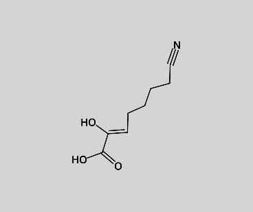 N#CCCCCC=C(O)C(=O)O